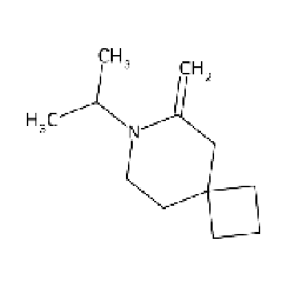 C=C1CC2(CCC2)CCN1C(C)C